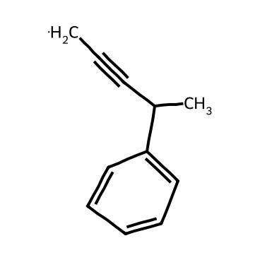 [CH2]C#CC(C)c1ccccc1